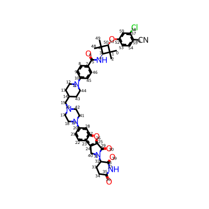 CC1(C)[C@H](NC(=O)c2ccc(N3CCC(CN4CCN(c5ccc6c7c(oc6c5)C(=O)N(C5CCC(=O)NC5=O)C7)CC4)CC3)cc2)C(C)(C)[C@H]1Oc1ccc(C#N)c(Cl)c1